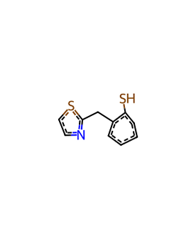 Sc1ccccc1Cc1nccs1